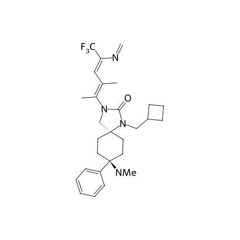 C=N/C(=C\C(C)=C(/C)N1C[C@]2(CC[C@@](NC)(c3ccccc3)CC2)N(CC2CCC2)C1=O)C(F)(F)F